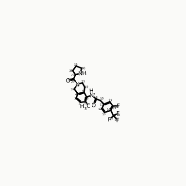 Cc1ccc2c(c1NC(=O)Cc1ccc(C(F)(F)F)c(F)c1)CCN(C(=O)C1CCCN1)C2